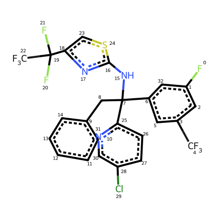 Fc1cc(C(F)(F)F)cc(C(Cc2ccccc2)(Nc2nc(C(F)(F)C(F)(F)F)cs2)c2ccc(Cl)cn2)c1